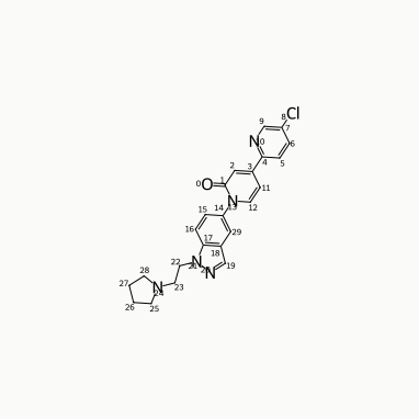 O=c1cc(-c2ccc(Cl)cn2)ccn1-c1ccc2c(cnn2CCN2CCCC2)c1